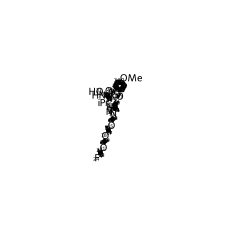 COc1ccc(S(=O)(=O)N(Cc2cn(CCOCCOCCOCCF)nn2)[C@@H](C(=O)NO)C(C)C)cc1